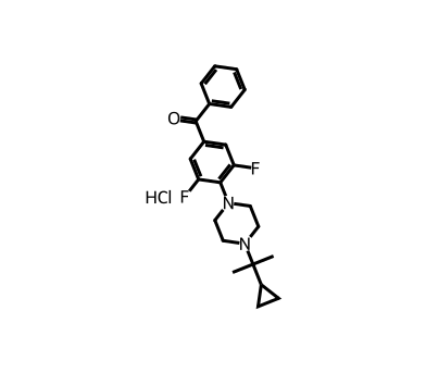 CC(C)(C1CC1)N1CCN(c2c(F)cc(C(=O)c3ccccc3)cc2F)CC1.Cl